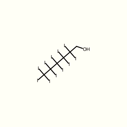 OCC(I)(I)C(I)(I)C(I)(I)C(I)(I)C(I)(I)I